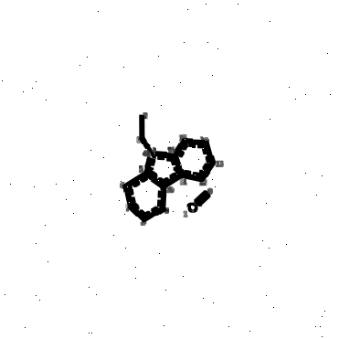 C=O.CCn1c2ccccc2c2ccccc21